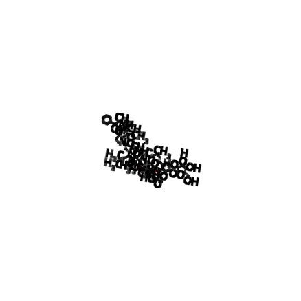 C=CC(C)CC(OC(=O)N(C)[C@H](C(=O)N[C@H](C(=O)N(C)[C@@H]([C@@H](C)CC)[C@@H](CC(=O)N1CCC[C@H]1[C@H](OC)[C@@H](C)C(=O)N[C@H](C)[C@@H](O)c1ccccc1)OC)C(C)C)C(C)C)c1ccc(O[C@@H]2O[C@H](CO)[C@H](O)[C@H](O)[C@H]2O)c2oc(C(=O)O)cc12